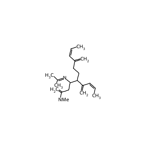 C=C(/C=C\C)CCC(C(=C)/C=C\C)C(CC(=C)NC)N=C(C)C